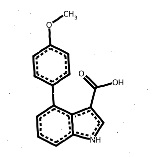 COc1ccc(-c2cccc3[nH]cc(C(=O)O)c23)cc1